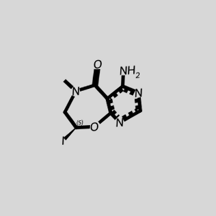 CN1C[C@H](I)Oc2ncnc(N)c2C1=O